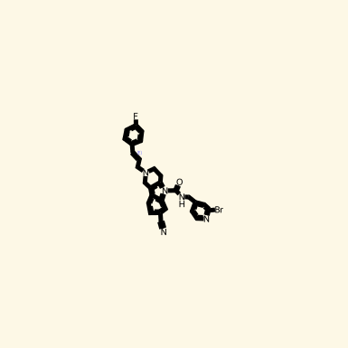 N#Cc1ccc2c3c(n(C(=O)NCc4ccnc(Br)c4)c2c1)CCN(C/C=C/c1ccc(F)cc1)C3